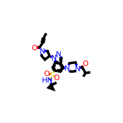 CC#CC(=O)N1CCC(n2ncc3c(N4CCN(C(=O)C(C)C)CC4)cc(S(=O)(=O)NC4(C)CC4)cc32)C1